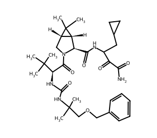 CC(C)(COCc1ccccc1)NC(=O)N[C@H](C(=O)N1C[C@H]2[C@@H]([C@H]1C(=O)NC(CC1CC1)C(=O)C(N)=O)C2(C)C)C(C)(C)C